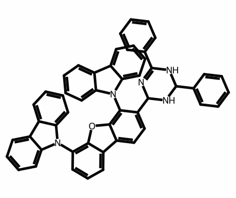 c1ccc(C2=NC(c3ccc4c(oc5c(-n6c7ccccc7c7ccccc76)cccc54)c3-n3c4ccccc4c4ccccc43)NC(c3ccccc3)N2)cc1